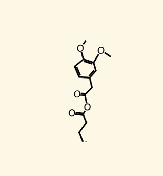 [CH2]CCC(=O)OC(=O)Cc1ccc(OC)c(OC)c1